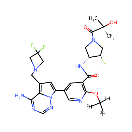 [2H]C([2H])([2H])Oc1ncc(-c2cc(CN3CC(F)(F)C3)c3c(N)ncnn23)cc1C(=O)N[C@@H]1CN(C(=O)[C@@](C)(O)C(F)(F)F)C[C@@H]1F